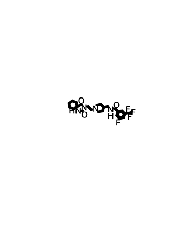 O=C(NCC1CCN(CCN2C(=O)NC3(CCCCC3)C2=O)CC1)c1cc(F)cc(C(F)(F)F)c1